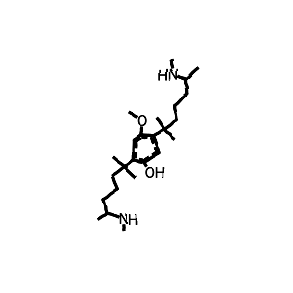 CNC(C)CCCC(C)(C)c1cc(OC)c(C(C)(C)CCCC(C)NC)cc1O